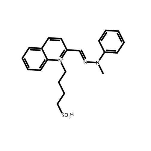 CN(N=Cc1ccc2ccccc2[n+]1CCCCS(=O)(=O)O)c1ccccc1